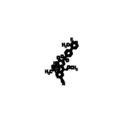 COC[C@@H](c1cccc(C#N)c1)N1C=C(S(=O)(=O)c2ccc(-c3ccnc(F)c3C)cc2)C(=O)NC1(O)COC(C)C